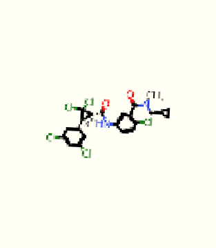 CN(CC1CC1)C(=O)c1cc(NC(=O)[C@@H]2[C@@H](c3cc(Cl)cc(Cl)c3)C2(Cl)Cl)ccc1Cl